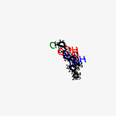 O=C(C(O)c1cccc(Cl)c1)N1CCc2nc(C3(c4cccc(C5=CCCC5)c4)CC3)[nH]c(=O)c2C1